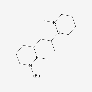 CB1CCCCN1C(C)CC1CCCN(C(C)(C)C)B1C